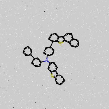 c1ccc(-c2cccc(N(c3ccc(-c4cccc5c4sc4c6ccccc6ccc54)cc3)c3ccc4c(c3)sc3ccccc34)c2)cc1